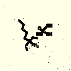 CCCCCC(P)(CC)CC.O=P(O)(O)O